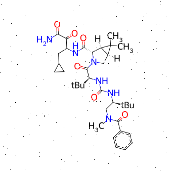 CN(C[C@@H](NC(=O)N[C@H](C(=O)N1C[C@H]2[C@@H]([C@H]1C(=O)NC(CC1CC1)C(=O)C(N)=O)C2(C)C)C(C)(C)C)C(C)(C)C)C(=O)c1ccccc1